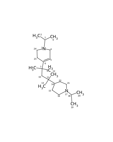 CC(C)N1CC=C(C(C)(C)CC(C)(C)C2CCN(C(C)C)CC2)CC1